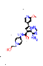 COc1cc(-c2cc(C(=O)NC3CCN(CCO)CC3)c3c(N)ncnn23)ccn1